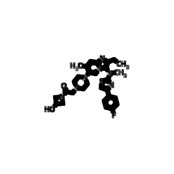 CCc1nc2cc(C)c(N3CCN(CC(=O)N4CC(O)C4)CC3)cn2c1N(C)c1nc(-c2ccc(F)cc2)cs1